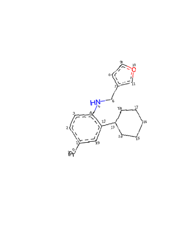 CC(C)c1ccc(NCc2ccoc2)c(C2CCCCC2)c1